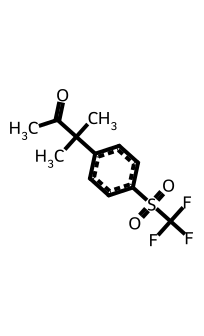 CC(=O)C(C)(C)c1ccc(S(=O)(=O)C(F)(F)F)cc1